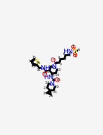 CS(=O)(=O)NCCCCCC(=O)N1CC[C@@H](NC(=O)N2CCC3(CC2)CC3)[C@@H](C(=O)NCc2cccs2)C1